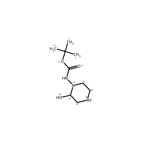 CC(C)(C)OC(=O)NN1CCNCC1O